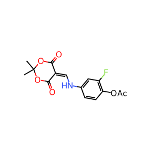 CC(=O)Oc1ccc(NC=C2C(=O)OC(C)(C)OC2=O)cc1F